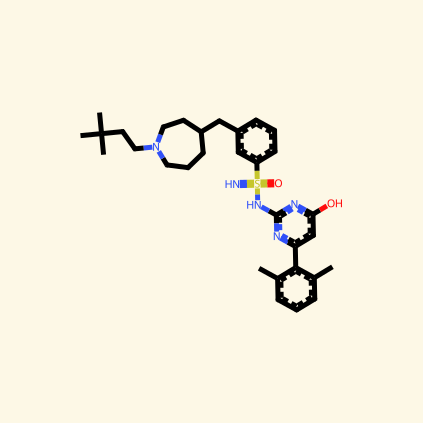 Cc1cccc(C)c1-c1cc(O)nc(NS(=N)(=O)c2cccc(CC3CCCN(CCC(C)(C)C)CC3)c2)n1